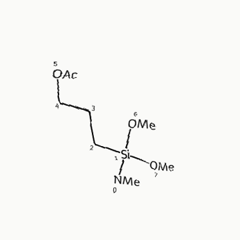 CN[Si](CCCOC(C)=O)(OC)OC